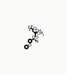 CC1(C)C(/C=C(\Cl)C(F)(F)F)C1C(=O)O[C@@H](C#N)c1cccc(Oc2ccccc2)c1